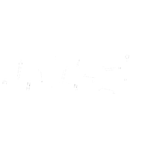 CC(C)C(=O)Nc1ccc2sc(-c3cccc(Cl)c3)nc2c1